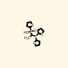 CC(P(c1cccs1)c1cccs1)[PH](O)(Cl)c1cccs1